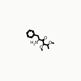 COC(C)C(OC)C(=O)[C@@H](N)Cc1ccccc1